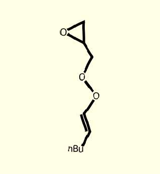 CCCCC=COOCC1CO1